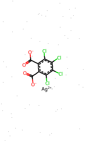 O=C([O-])c1c(Cl)c(Cl)c(Cl)c(Cl)c1C(=O)[O-].[Ag+2]